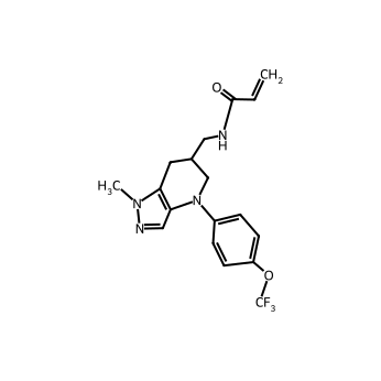 C=CC(=O)NCC1Cc2c(cnn2C)N(c2ccc(OC(F)(F)F)cc2)C1